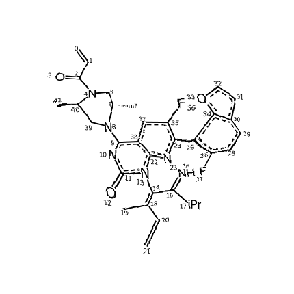 C=CC(=O)N1C[C@H](C)N(c2nc(=O)n(/C(C(=N)C(C)C)=C(\C)C=C)c3nc(-c4c(F)ccc5ccoc45)c(F)cc23)C[C@H]1C